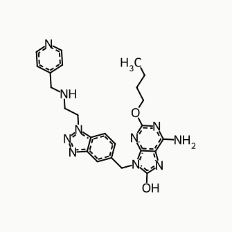 CCCCOc1nc(N)c2nc(O)n(Cc3ccc4c(c3)nnn4CCNCc3ccncc3)c2n1